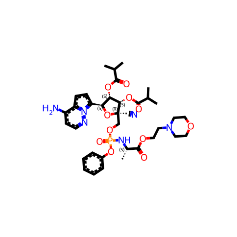 CC(C)C(=O)O[C@H]1[C@H](c2ccc3c(N)ccnn23)O[C@](C#N)(COP(=O)(N[C@@H](C)C(=O)OCCN2CCOCC2)Oc2ccccc2)[C@H]1OC(=O)C(C)C